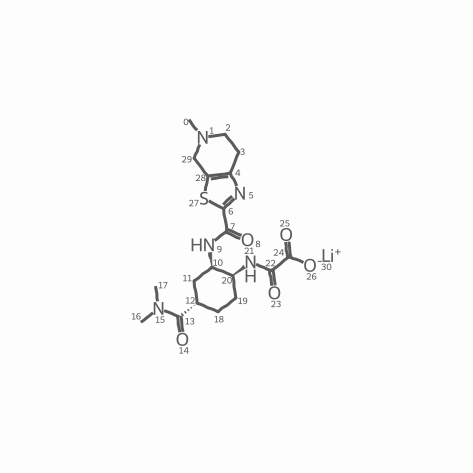 CN1CCc2nc(C(=O)N[C@@H]3C[C@@H](C(=O)N(C)C)CC[C@@H]3NC(=O)C(=O)[O-])sc2C1.[Li+]